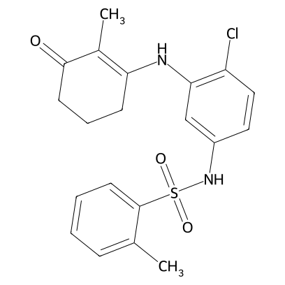 CC1=C(Nc2cc(NS(=O)(=O)c3ccccc3C)ccc2Cl)CCCC1=O